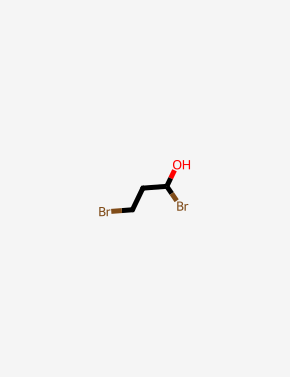 OC(Br)CCBr